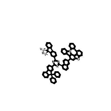 CC1(C)c2ccccc2-c2ccc(-c3nc(-c4ccc5c(c4)C(c4ccccc4)(c4ccccc4)c4ccccc4-5)nc(-c4cccc5cc(-c6cc7oc8cccc9c%10ccccc%10n%10c%11ccccc%11c6c%10c7c89)ccc45)n3)cc21